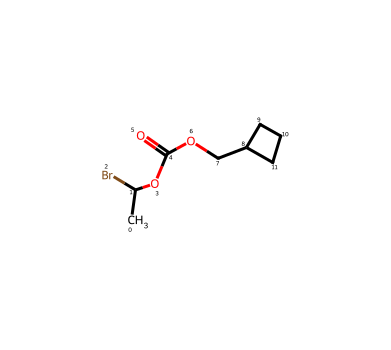 CC(Br)OC(=O)OCC1CCC1